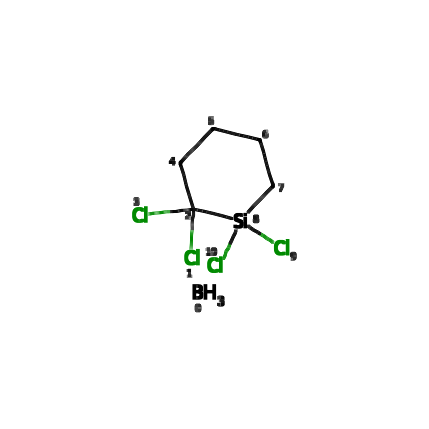 B.ClC1(Cl)CCCC[Si]1(Cl)Cl